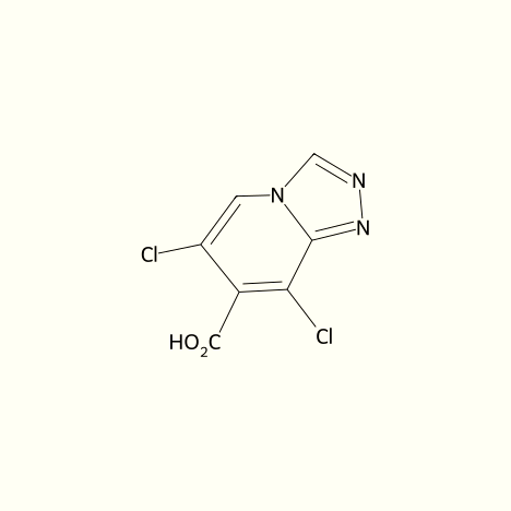 O=C(O)c1c(Cl)cn2cnnc2c1Cl